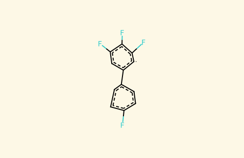 Fc1ccc(-c2[c]c(F)c(F)c(F)c2)cc1